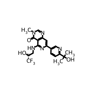 Cn1cnc2cc(-c3ccc(C(C)(C)O)nc3)nc(NC[C@@H](O)C(F)(F)F)c2c1=O